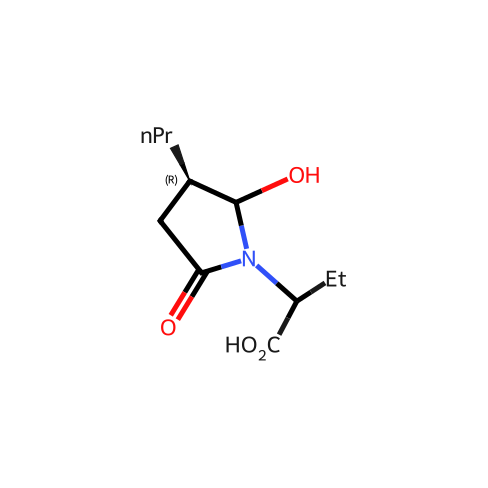 CCC[C@@H]1CC(=O)N(C(CC)C(=O)O)C1O